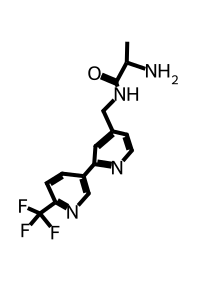 CC(N)C(=O)NCc1ccnc(-c2ccc(C(F)(F)F)nc2)c1